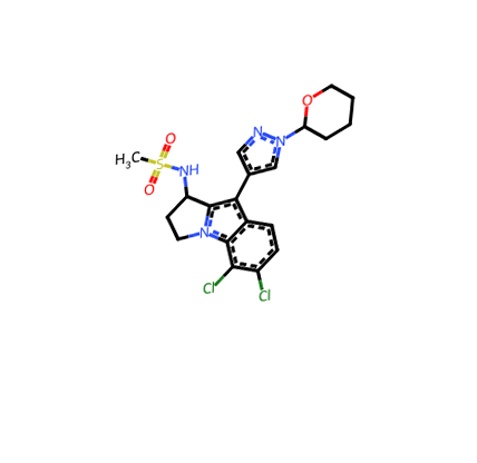 CS(=O)(=O)NC1CCn2c1c(-c1cnn(C3CCCCO3)c1)c1ccc(Cl)c(Cl)c12